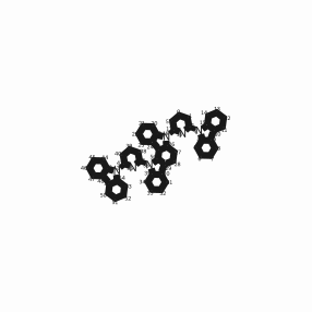 c1cc(-n2c3ccccc3c3ccccc32)nc(-n2c3ccccc3c3c2ccc2c4ccccc4n(-c4cccc(-n5c6ccccc6c6ccccc65)n4)c23)c1